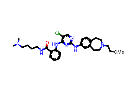 COCCN1CCc2ccc(Nc3ncc(Cl)c(Nc4ccccc4C(=O)NCCCCN(C)C)n3)cc2CC1